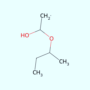 [CH2]C(O)OC(C)CC